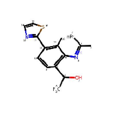 CCC/C(C)=N\c1c(C(O)C(F)(F)F)ccc(-c2nccs2)c1C